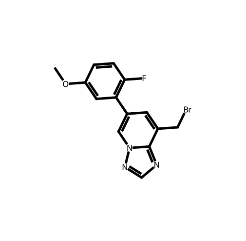 COc1ccc(F)c(-c2cc(CBr)c3ncnn3c2)c1